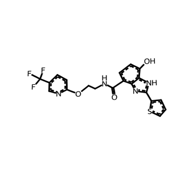 O=C(NCCOc1ccc(C(F)(F)F)cn1)c1ccc(O)c2[nH]c(-c3cccs3)nc12